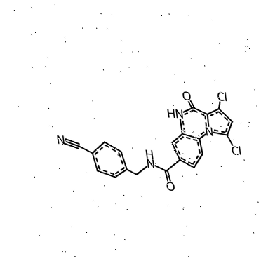 N#Cc1ccc(CNC(=O)c2ccc3c(c2)[nH]c(=O)c2c(Cl)cc(Cl)n23)cc1